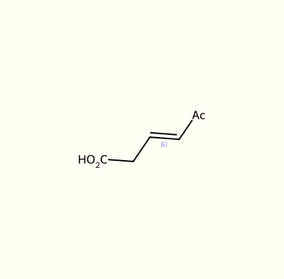 CC(=O)/C=C/CC(=O)O